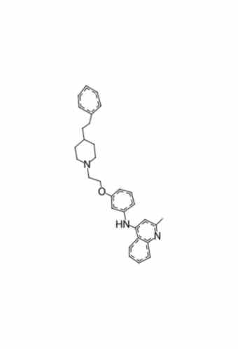 Cc1cc(Nc2cccc(OCCN3CCC(CCc4ccccc4)CC3)c2)c2ccccc2n1